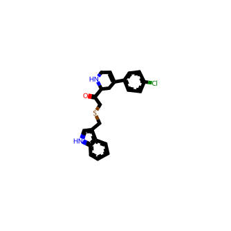 O=C(CSCc1c[nH]c2ccccc12)C1CC(c2ccc(Cl)cc2)=CCN1